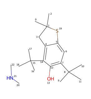 CC1(C)Cc2c(cc(C(C)(C)C)c(O)c2C(C)(C)C)S1.CNC